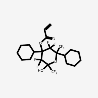 C=CC(=O)OC1(C2CCCCC2)C(F)(F)C(O)(C(F)(F)F)OC(C2CCCCC2)(C(F)(F)F)C1(F)F